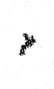 C=CC(=O)N1CCC[C@H]1c1cc(N2CC(CS(C)(=O)=O)C2)c2cnc(Nc3ccnc(N4CC[C@@H](OC)[C@@H](F)C4)n3)cc2c1C(C)C